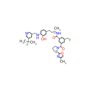 Cc1coc([C@H]2CCCN2C(=O)c2cc(CF)cc(C(=O)N[C@@H](C)CCc3ccc(NCc4cncc(C(C)(C)F)c4)c(O)c3)c2)n1